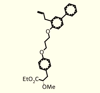 C=CCc1cc(-c2ccccc2)ccc1OCCCOc1ccc(C[C@H](OC)C(=O)OCC)cc1